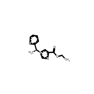 CCOC(=O)c1cn([C@@H](C)c2ccccn2)cn1